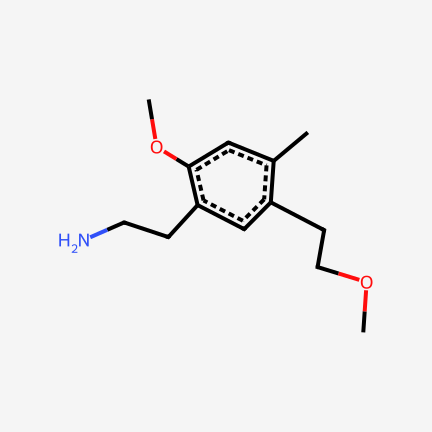 COCCc1cc(CCN)c(OC)cc1C